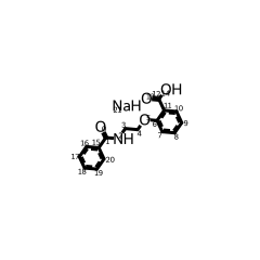 O=C(NCCOc1ccccc1C(=O)O)c1ccccc1.[NaH]